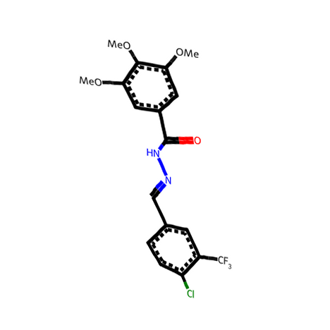 COc1cc(C(=O)N/N=C/c2ccc(Cl)c(C(F)(F)F)c2)cc(OC)c1OC